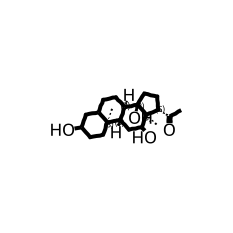 CC(=O)[C@H]1CC[C@@]2(O)[C@@H]3CCC4CC(O)CC[C@]4(C)[C@H]3CC(O)[C@]12C